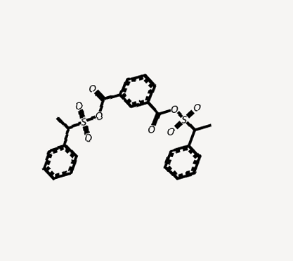 CC(c1ccccc1)S(=O)(=O)OC(=O)c1cccc(C(=O)OS(=O)(=O)C(C)c2ccccc2)c1